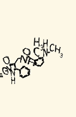 CCNc1cccc(C(=O)NCc2c(-c3ccccc3)[nH]n(C)c2=O)c1C